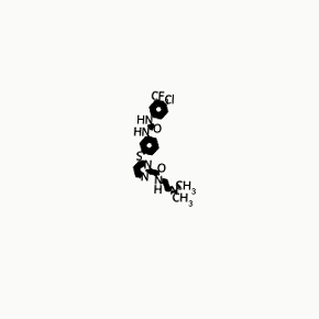 CN(C)CCNC(=O)c1nccc(Sc2cccc(NC(=O)Nc3ccc(Cl)c(C(F)(F)F)c3)c2)n1